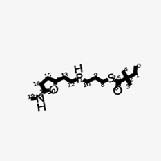 CCC(C)(C)C(=O)SCCCPCCC1CCC(NC)O1